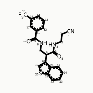 N#CCCNC(=O)C(CNC(=O)c1cccc(C(F)(F)F)c1)c1csc2ccccc12